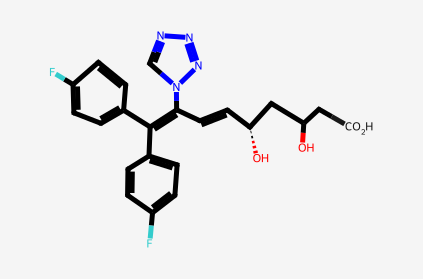 O=C(O)CC(O)C[C@H](O)C=CC(=C(c1ccc(F)cc1)c1ccc(F)cc1)n1cnnn1